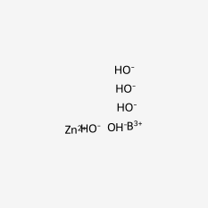 [B+3].[OH-].[OH-].[OH-].[OH-].[OH-].[Zn+2]